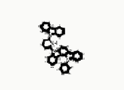 C1=CC(n2c3ccccc3c3ccccc32)NC(n2c3ccccc3c3c2ccc2c4ccccc4n(-c4ccccc4)c23)=C1